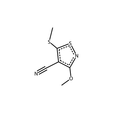 COc1nsc(SC)c1C#N